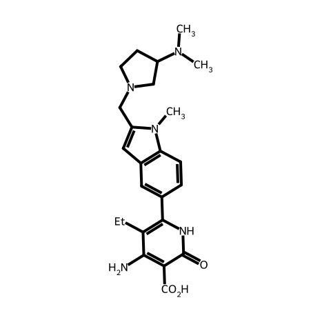 CCc1c(-c2ccc3c(c2)cc(CN2CCC(N(C)C)C2)n3C)[nH]c(=O)c(C(=O)O)c1N